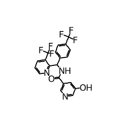 O=C(NC(c1ccc(C(F)(F)F)cc1)c1ncccc1C(F)(F)F)c1cncc(O)c1